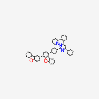 c1ccc(-c2cc(-c3ccccc3-c3ccccn3)nc(-c3ccc(-c4ccc(-c5ccc6oc7ccccc7c6c5)c5oc6ccccc6c45)cc3)n2)cc1